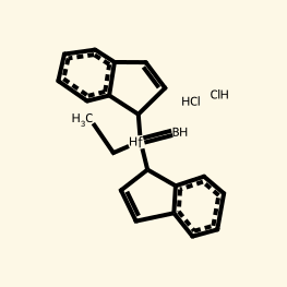 Cl.Cl.[BH]=[Hf]([CH2]C)([CH]1C=Cc2ccccc21)[CH]1C=Cc2ccccc21